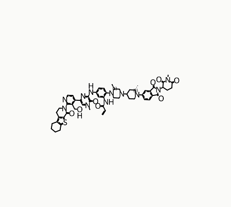 C=CC(=O)Nc1cc(Nc2nc(-c3ccnc(N4CCc5c(sc6c5CCCC6)C4=O)c3CO)cn(C)c2=O)ccc1N1CCN(C2CCN(c3ccc4c(c3)C(=O)N(C3CCC(=O)N(C)C3=O)C4=O)[C@@H](C)C2)C[C@@H]1C